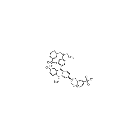 CCN(Cc1cccc(S(=O)(=O)[O-])c1)c1ccc(C(=C2C=CC(=[N+](CC)Cc3cccc(S(=O)(=O)[O-])c3)C=C2)c2cc(Cl)ccc2Cl)cc1.[Na+]